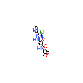 COc1cc(C(=O)Nc2cc(C)c(OC)c(C)c2)ccc1Nc1ncc(Cl)c(-c2cnn(C(C)C)c2)n1